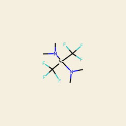 CN(C)[Si](N(C)C)(C(F)(F)F)C(F)(F)F